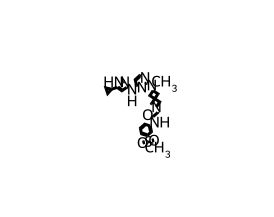 CN(c1nccc(Nc2cc(C3CC3)[nH]n2)n1)C1CC2(C1)CN(CC(=O)Nc1cccc(S(C)(=O)=O)c1)C2